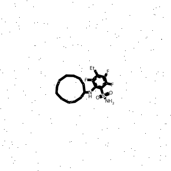 CCc1c(F)c(F)c(S(N)(=O)=O)c(NC2CCCCCCCCCCC2)c1F